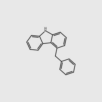 c1ccc(Cc2cccc3[nH]c4ccccc4c23)cc1